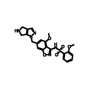 COc1ccccc1S(=O)(=O)Nc1noc2cc(Cn3ncc4c3CNC4)cc(OC)c12